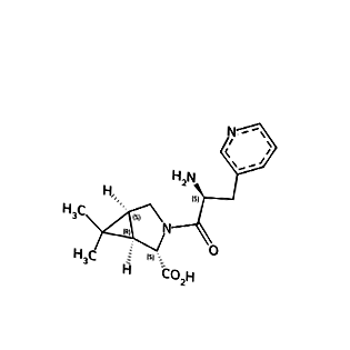 CC1(C)[C@@H]2[C@@H](C(=O)O)N(C(=O)[C@@H](N)Cc3cccnc3)C[C@@H]21